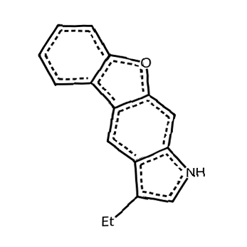 CCc1c[nH]c2cc3oc4ccccc4c3cc12